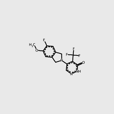 COc1cc2c(cc1F)CN(c1cn[nH]c(=O)c1C(F)(F)F)C2